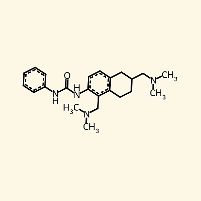 CN(C)Cc1c(NC(=O)Nc2ccccc2)ccc2c1CCC(CN(C)C)C2